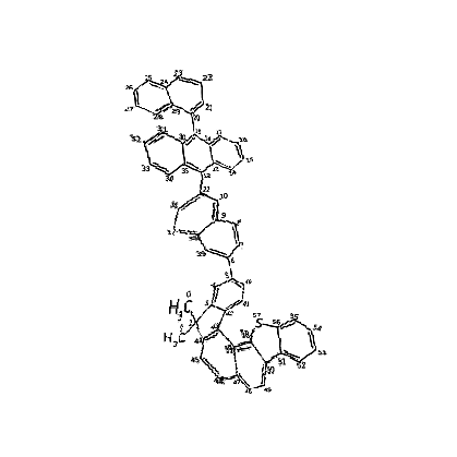 CC1(C)c2cc(-c3ccc4cc(-c5c6ccccc6c(-c6cccc7ccccc67)c6ccccc56)ccc4c3)ccc2-c2c1ccc1ccc3c4ccccc4sc3c21